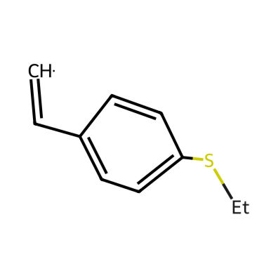 [CH]=Cc1ccc(SCC)cc1